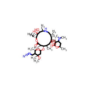 CC[C@H]1OC(=O)[C@H](C)[C@@H](O[C@H]2C[C@@](C)(OC)C(CN=[N+]=[N-])[C@H](C)O2)[C@H](C)[C@@H](O[C@@H]2O[C@H](C)CC(N(C)C)[C@H]2O)[C@](C)(O)C[C@@H](C)CN[C@H](C)[C@@H](O)[C@]1(C)O